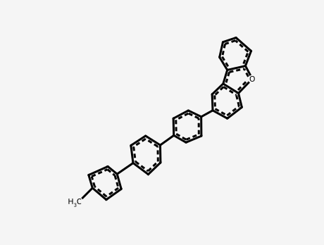 Cc1ccc(-c2ccc(-c3ccc(-c4ccc5oc6ccccc6c5c4)cc3)cc2)cc1